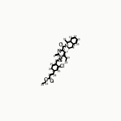 C=C1N=C(C(=O)N2CCC3C=CC=CC3C2C)C=C(CC)N1/N=C/C1=CCC(/C=C/C(=O)OCC)C=C1Cl